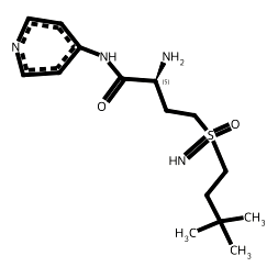 CC(C)(C)CCS(=N)(=O)CC[C@H](N)C(=O)Nc1ccncc1